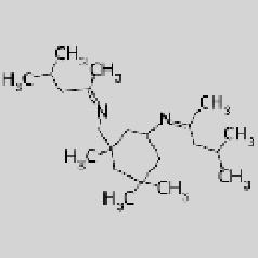 CC(CC(C)C)=NCC1(C)CC(N=C(C)CC(C)C)CC(C)(C)C1